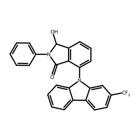 O=C1c2c(cccc2-n2c3ccccc3c3ccc(C(F)(F)F)cc32)C(O)N1c1ccccc1